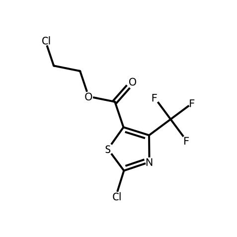 O=C(OCCCl)c1sc(Cl)nc1C(F)(F)F